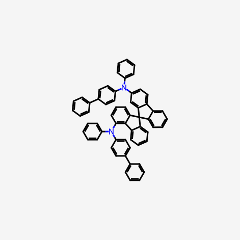 c1ccc(-c2ccc(N(c3ccccc3)c3ccc4c(c3)C3(c5ccccc5-4)c4ccccc4-c4c(N(c5ccccc5)c5ccc(-c6ccccc6)cc5)cccc43)cc2)cc1